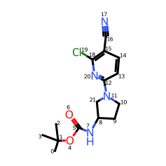 CC(C)(C)OC(=O)NC1CCN(c2ccc(C#N)c(Cl)n2)C1